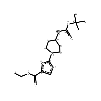 CCOC(=O)c1cnc(N2CCC(NC(=O)OC(C)(C)C)CC2)o1